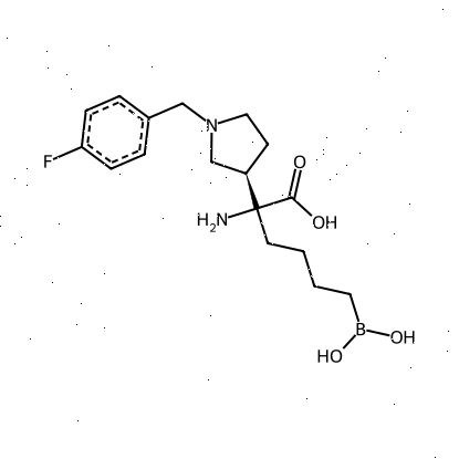 NC(CCCCB(O)O)(C(=O)O)[C@@H]1CCN(Cc2ccc(F)cc2)C1